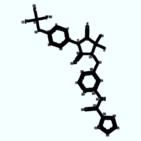 CC1(C)C(=O)N(c2ccc(SC(F)(F)F)cc2)C(=O)N1Cc1ccnc(NC(=O)c2ccco2)c1